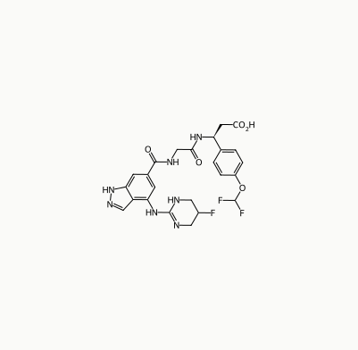 O=C(O)C[C@H](NC(=O)CNC(=O)c1cc(NC2=NCC(F)CN2)c2cn[nH]c2c1)c1ccc(OC(F)F)cc1